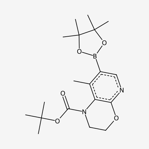 Cc1c(B2OC(C)(C)C(C)(C)O2)cnc2c1N(C(=O)OC(C)(C)C)CCO2